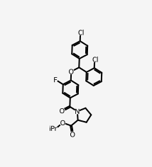 CC(C)OC(=O)C1CCCN1C(=O)c1ccc(OC(c2ccc(Cl)cc2)c2ccccc2Cl)c(F)c1